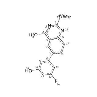 CNc1nc(C)c2cc(-c3cc(O)cc(F)c3)ccc2n1